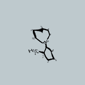 CC1CCCC1N1CC[CH]CC1